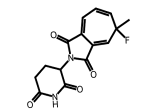 CC1(F)C=CC=C2C(=O)N(C3CCC(=O)NC3=O)C(=O)C2=C1